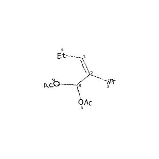 CCC=C(C(C)C)C(OC(C)=O)OC(C)=O